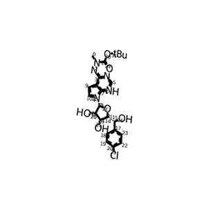 CN(N=c1nc[nH]c2c1ccn2[C@@H]1O[C@H](C(O)c2ccc(Cl)cc2)[C@@H](O)[C@H]1O)C(=O)OC(C)(C)C